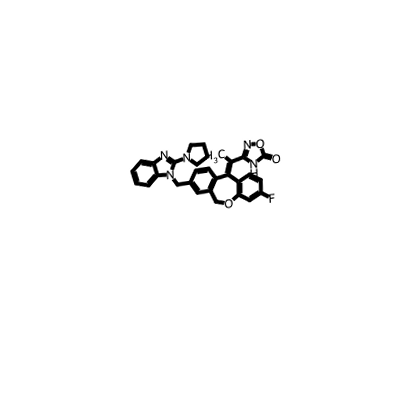 C/C(=C1\c2ccc(Cn3c(N4CCCC4)nc4ccccc43)cc2COc2cc(F)ccc21)c1noc(=O)[nH]1